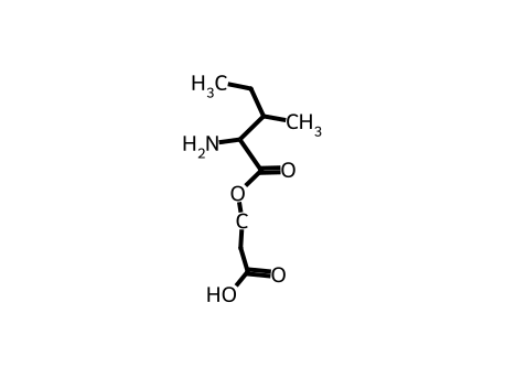 CCC(C)C(N)C(=O)OCCC(=O)O